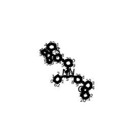 c1ccc(-c2cc(-c3ccc(-c4cccc5c4oc4ccccc45)cc3)nc(-c3cccc(-c4ccc5c(c4)Sc4ccccc4C54c5ccccc5-c5ccccc54)c3)n2)cc1